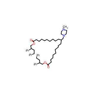 CC(C)CCC(COC(=O)CCCCCCCCCC(CCCCCCCCCC(=O)OCC(CCC(C)C)C(C)C)CN1CCN(C)CC1)C(C)C